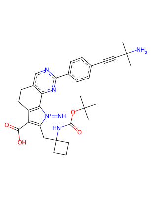 CC(C)(N)C#Cc1ccc(-c2ncc3c(n2)C2=C(CC3)C(C(=O)O)=C(CC3(NC(=O)OC(C)(C)C)CCC3)[N+]2=N)cc1